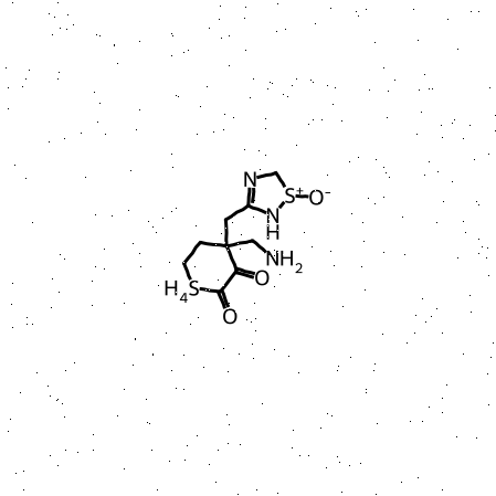 NCC1(CC2=NC[S+]([O-])N2)CC[SH4]C(=O)C1=O